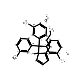 CCCCC1=CC=C[C]1([Ti+3])C(c1cccc(C)c1)(c1cccc(C)c1)c1cccc(C)c1.[Cl-].[Cl-].[Cl-]